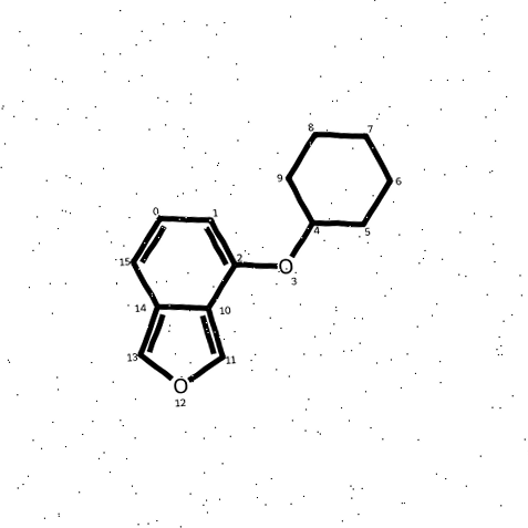 c1cc(OC2CCCCC2)c2cocc2c1